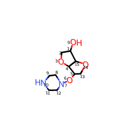 OC1COC2C(ON3CCNCC3)COC12